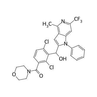 Cc1nc(C(F)(F)F)cc2c1cc(C(O)c1c(Cl)ccc(C(=O)N3CCOCC3)c1Cl)n2-c1ccccc1